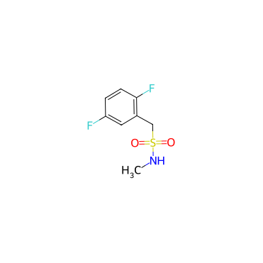 CNS(=O)(=O)Cc1cc(F)ccc1F